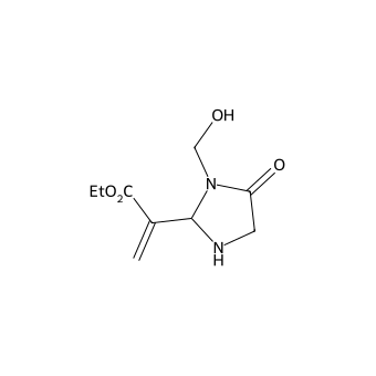 C=C(C(=O)OCC)C1NCC(=O)N1CO